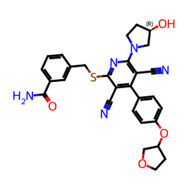 N#Cc1c(SCc2cccc(C(N)=O)c2)nc(N2CC[C@@H](O)C2)c(C#N)c1-c1ccc(OC2CCOC2)cc1